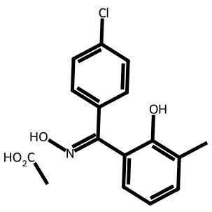 CC(=O)O.Cc1cccc(C(=NO)c2ccc(Cl)cc2)c1O